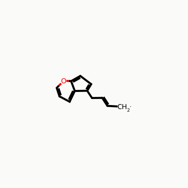 [CH2]C=CCc1ccc2occcc1-2